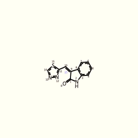 O=C1Nc2ccccc2/C1=C/c1nncs1